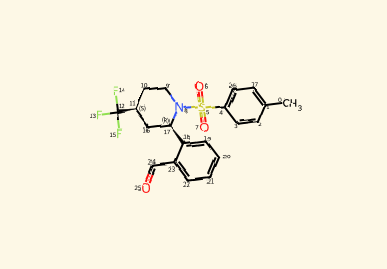 Cc1ccc(S(=O)(=O)N2CC[C@H](C(F)(F)F)C[C@@H]2c2ccccc2C=O)cc1